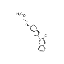 COCCOC1=CCC2=NC(c3cc4ccccc4nc3Cl)=CC2=C1